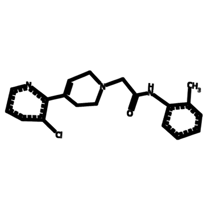 Cc1ccccc1NC(=O)CN1CC=C(c2ncccc2Cl)CC1